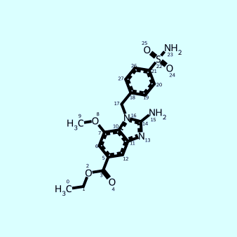 CCOC(=O)c1cc(OC)c2c(c1)nc(N)n2Cc1ccc(S(N)(=O)=O)cc1